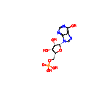 O=P(O)(O)OC[C@H]1O[C@@H](n2cnc3c(O)ncnc32)[C@@H](O)[C@H]1O